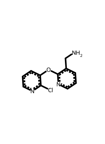 NCc1cccnc1Oc1cccnc1Cl